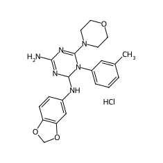 Cc1cccc(N2C(N3CCOCC3)=NC(N)=NC2Nc2ccc3c(c2)OCO3)c1.Cl